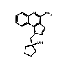 Nc1nc2ccccc2c2c1ncn2CC1(O)CCCC1